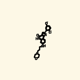 COc1ccc(Cl)c(-n2cc3c(=O)[nH]c4cc(NCCCN5CCOCC5)ccc4c3n2)c1